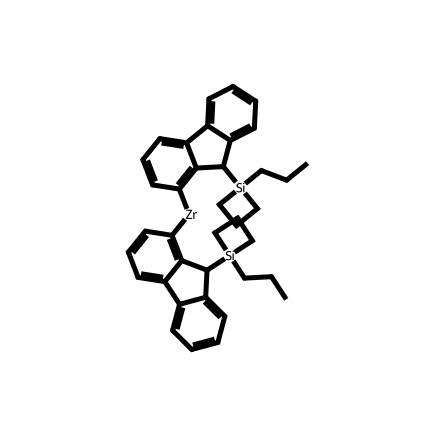 CCC[Si]1(C2c3ccccc3-c3ccc[c]([Zr][c]4cccc5c4C([Si]4(CCC)CCC4)c4ccccc4-5)c32)CCC1